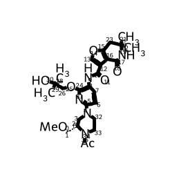 COC[C@@H]1CN(c2ccc(NC(=O)c3coc4c3C(=O)NC(C)(C)C4)c(OCC(C)(C)O)n2)CCN1C(C)=O